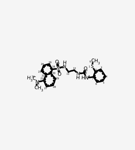 CSc1ccccc1NC(=O)NCCNS(=O)(=O)c1cccc2c(N(C)C)cccc12